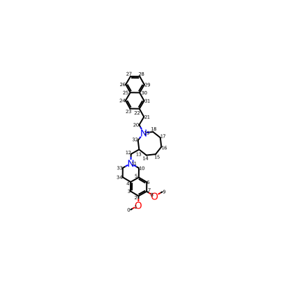 COc1cc2c(cc1OC)CN(CC1CCCCCN(CCc3ccc4ccccc4c3)C1)CC2